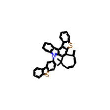 C=C1/C=C\C=C/CC(C)(C)c2c1c1sc3ccccc3c1c1c3ccccc3n(-c3ccc4sc5ccccc5c4c3)c21